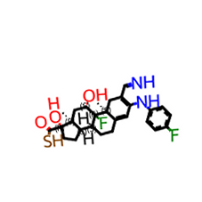 C[C@]12CC(C=N)=C(Nc3ccc(F)cc3)C=C1CC[C@H]1[C@@H]3CC[C@](O)(C(=O)S)[C@@]3(C)C[C@H](O)[C@@]12F